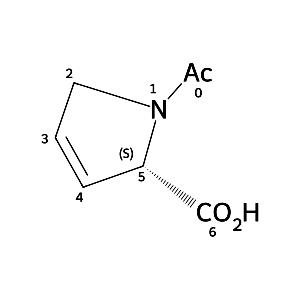 CC(=O)N1CC=C[C@H]1C(=O)O